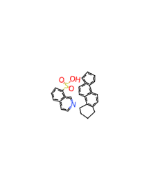 O=S(=O)(O)c1cccc2ccncc12.c1ccc2c(c1)ccc1c3c(ccc12)CCCC3